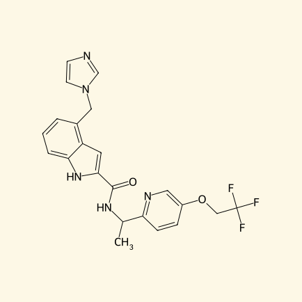 CC(NC(=O)c1cc2c(Cn3ccnc3)cccc2[nH]1)c1ccc(OCC(F)(F)F)cn1